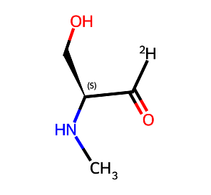 [2H]C(=O)[C@H](CO)NC